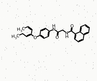 C/C=C\C(=C/CC)Oc1ccc(NC(=O)CNC(=O)c2cccc3ccccc23)cc1